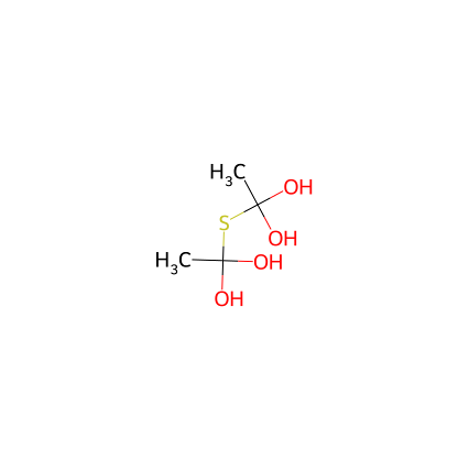 CC(O)(O)SC(C)(O)O